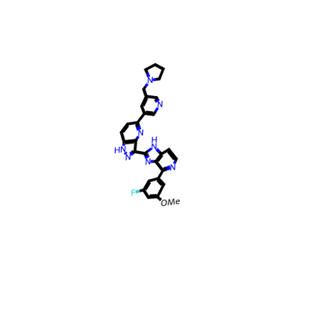 COc1cc(F)cc(-c2nccc3[nH]c(-c4n[nH]c5ccc(-c6cncc(CN7CCCC7)c6)nc45)nc23)c1